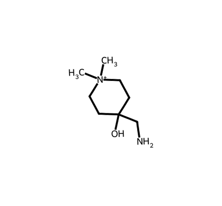 C[N+]1(C)CCC(O)(CN)CC1